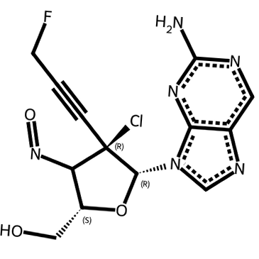 Nc1ncc2ncn([C@@H]3O[C@H](CO)C(N=O)[C@]3(Cl)C#CCF)c2n1